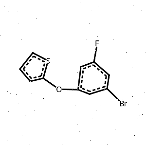 Fc1cc(Br)cc(Oc2cccs2)c1